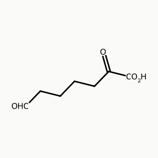 O=CCCCCC(=O)C(=O)O